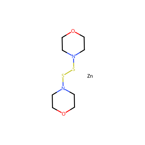 C1CN(SSN2CCOCC2)CCO1.[Zn]